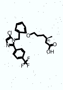 C[C@H](CCCOc1ccccc1Cn1c(Cl)cnc1-c1ccc(C(F)(F)F)cc1)CC(=O)O